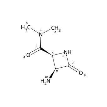 CN(C)C(=O)[C@H]1NC(=O)[C@H]1N